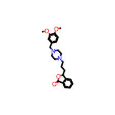 COc1ccc(CN2CCN(CCCC3OC(=O)c4ccccc43)CC2)cc1OC